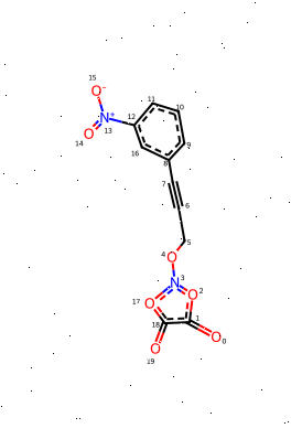 O=c1on(OCC#Cc2cccc([N+](=O)[O-])c2)oc1=O